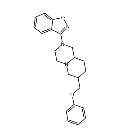 c1ccc(OCC2CCC3CN(c4noc5ccccc45)CCN3C2)cc1